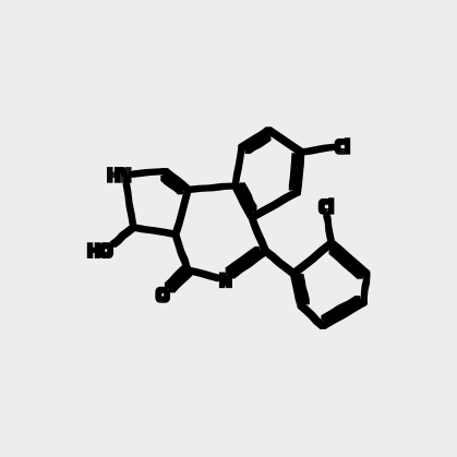 O=C1N=C(c2ccccc2Cl)c2cc(Cl)ccc2C2=CNC(O)C12